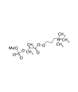 C=C(C)C(=O)OOCCC[N+](C)(C)C.COS(=O)(=O)[O-]